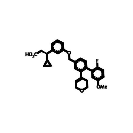 COc1ccc(F)c(-c2ccc(COc3cccc([C@H](CC(=O)O)C4CC4)c3)cc2C2=CCOCC2)c1